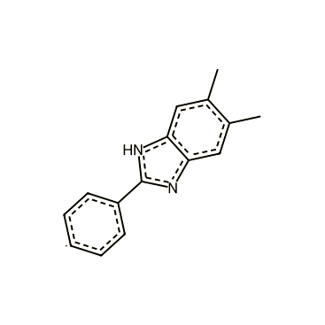 Cc1cc2nc(-c3cc[c]cc3)[nH]c2cc1C